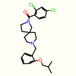 CC(C)COc1ccccc1CN1CCC2(CC1)CCN(C(=O)c1ccc(Cl)cc1Cl)C2